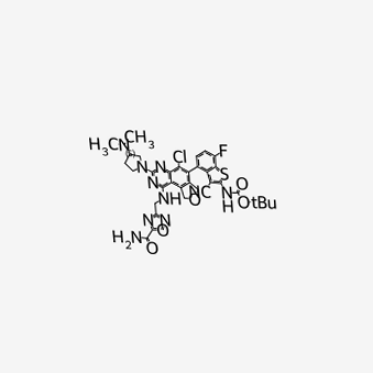 CN(C)[C@H]1CCN(c2nc(NCc3noc(C(N)=O)n3)c3c4c(c(-c5ccc(F)c6sc(NC(=O)OC(C)(C)C)c(C#N)c56)c(Cl)c3n2)COC4)C1